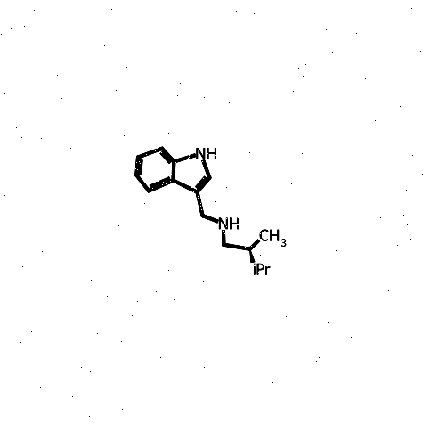 CC(C)[C@H](C)CNCc1c[nH]c2ccccc12